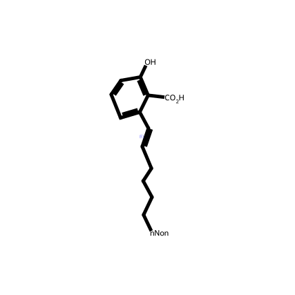 CCCCCCCCCCCCC/C=C/c1cccc(O)c1C(=O)O